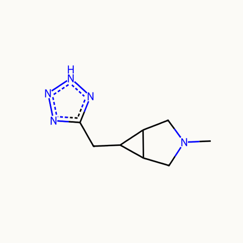 CN1CC2C(Cc3nn[nH]n3)C2C1